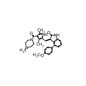 COc1ccc(-c2cccc3c2/C(=C/c2[nH]c(C)c(C(=O)N4CCN(C)CC4)c2C)C(=O)N3)cc1